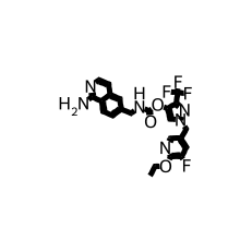 CCOc1ncc(Cn2cc(OC(=O)NCc3ccc4c(N)nccc4c3)c(C(F)(F)F)n2)cc1F